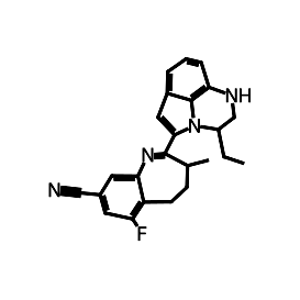 CCC1CNc2cccc3cc(C4=Nc5cc(C#N)cc(F)c5CCC4C)n1c23